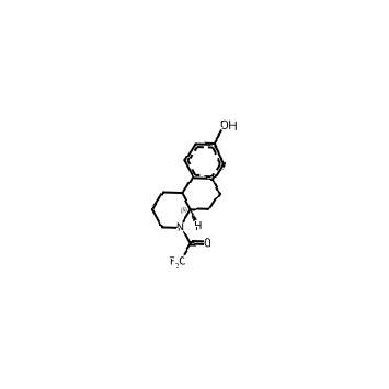 O=C(N1CCCC2c3ccc(O)cc3CC[C@@H]21)C(F)(F)F